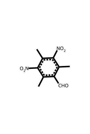 Cc1c(C=O)c(C)c([N+](=O)[O-])c(C)c1[N+](=O)[O-]